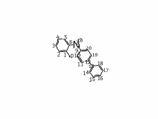 Cc1ccccc1N(C)c1ccc(-c2ccccc2)cc1